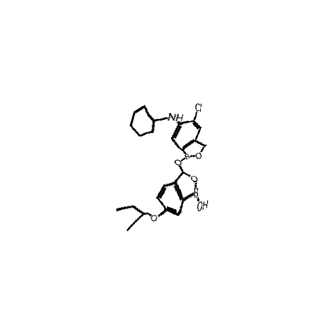 CCC(C)Oc1ccc2c(c1)B(O)OC2OB1OCc2cc(Cl)c(NC3CCCCC3)cc21